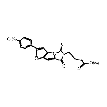 COC(=O)CCCN1C(=O)c2cc3oc(-c4ccc([N+](=O)[O-])cc4)cc3n2C1=S